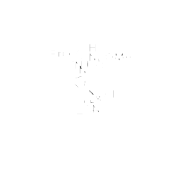 CCOC(=O)c1nn(-c2cccc(C#C[C@]3(O)CCN(C)C3=O)c2)cc1NC(=O)COC